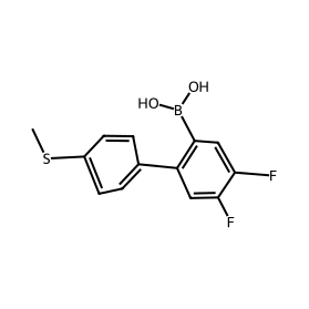 CSc1ccc(-c2cc(F)c(F)cc2B(O)O)cc1